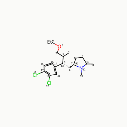 CCOCC(C)[C@H](C[C@H]1CCC(C)N1C)c1ccc(Cl)c(Cl)c1